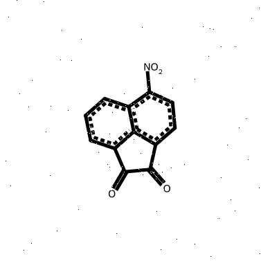 O=C1C(=O)c2ccc([N+](=O)[O-])c3cccc1c23